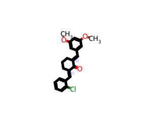 COc1cc(/C=C2\CCC/C(=C\c3ccccc3Cl)C2=O)cc(OC)c1